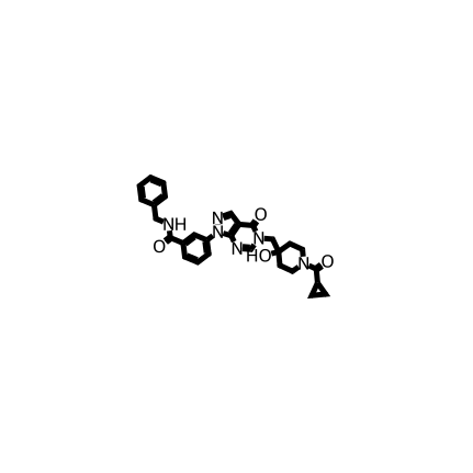 O=C(NCc1ccccc1)c1cccc(-n2ncc3c(=O)n(CC4(O)CCN(C(=O)C5CC5)CC4)cnc32)c1